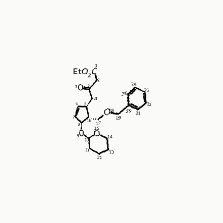 CCOC(=O)CC(=O)C[C@@H]1C=C[C@H](OC2CCCCO2)[C@H]1COCc1ccccc1